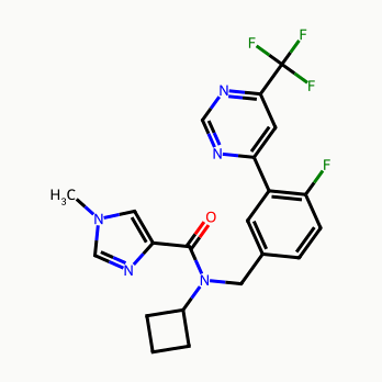 Cn1cnc(C(=O)N(Cc2ccc(F)c(-c3cc(C(F)(F)F)ncn3)c2)C2CCC2)c1